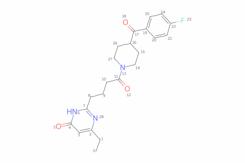 CCc1cc(=O)[nH]c(CCCC(=O)N2CCC(C(=O)c3ccc(F)cc3)CC2)n1